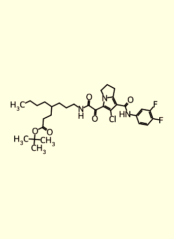 CCCCC(CCCNC(=O)C(=O)c1c(Cl)c(C(=O)Nc2ccc(F)c(F)c2)c2n1CCC2)CCC(=O)OC(C)(C)C